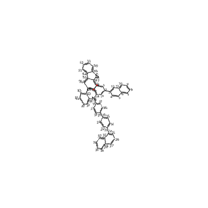 c1cc(-c2ccc3ccccc3c2)cc(N(c2ccc(-c3ccc(-c4cccc5ccccc45)cc3)cc2)c2ccccc2-c2ccc3sc4ccccc4c3c2)c1